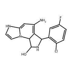 NC1=C2C(c3cc(F)ccc3Cl)NC(O)C2N2C=CNC2=C1